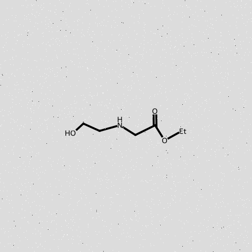 CCOC(=O)CNC[CH]O